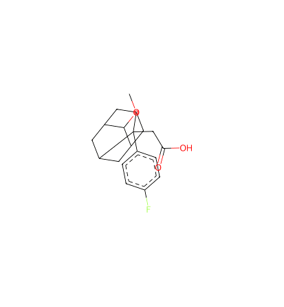 COC1C2CC3CC1CC(C2)C3(CC(=O)O)c1ccc(F)cc1